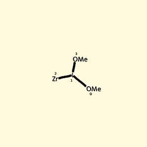 CO[I]([Zr])OC